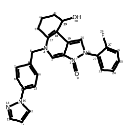 O=[n+]1c2cn(Cc3ccc(-n4cccn4)cc3)c3c(c-2cn1-c1ccccc1F)C(O)CCC3